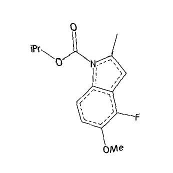 COc1ccc2c(cc(C)n2C(=O)OC(C)C)c1F